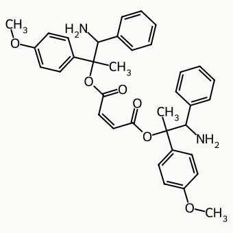 COc1ccc(C(C)(OC(=O)/C=C\C(=O)OC(C)(c2ccc(OC)cc2)C(N)c2ccccc2)C(N)c2ccccc2)cc1